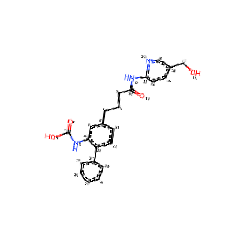 O=C(O)Nc1cc(CCCC(=O)Nc2ccc(CO)cn2)ccc1-c1ccccc1